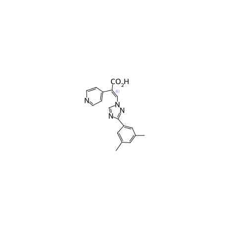 Cc1cc(C)cc(-c2ncn(/C=C(/C(=O)O)c3ccncc3)n2)c1